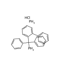 Cl.P.PC(c1ccccc1)(c1ccccc1)c1ccccc1-c1ccccc1